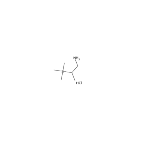 CC(CN)[Si](C)(C)C.Cl